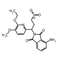 CCOc1nc(C(CC[SH](=O)=O)N2C(=O)c3cccc(N)c3C2=O)ccc1OC